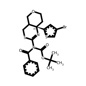 CC(C)(C)OC(=O)N(C(=O)c1ccccc1)C1=N[C@@]2(c3cc(Br)cs3)CCOCC2CS1